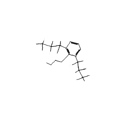 [O]CCCc1c(C(F)(F)C(F)(F)C(F)(F)C(F)(F)F)cccc1C(F)(F)C(F)(F)C(F)(F)C(F)(F)F